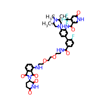 C[C@@H]1CN(c2ccc(-c3cc(C(=O)NCCOCCOCCNc4cccc5c4C(=O)N(C4CCC(=O)NC4=O)C5=O)ccc3F)cc2NC(=O)c2c[nH]c(=O)cc2C(F)(F)F)C[C@H](C)N1C